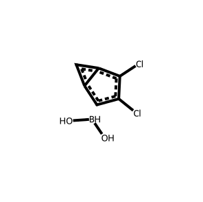 Clc1cc2cc-2c1Cl.OBO